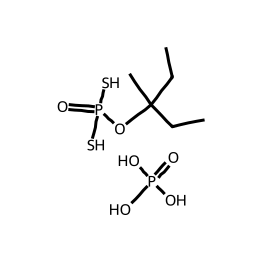 CCC(C)(CC)OP(=O)(S)S.O=P(O)(O)O